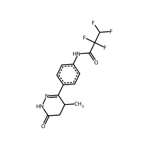 CC1CC(=O)NN=C1c1ccc(NC(=O)C(F)(F)C(F)F)cc1